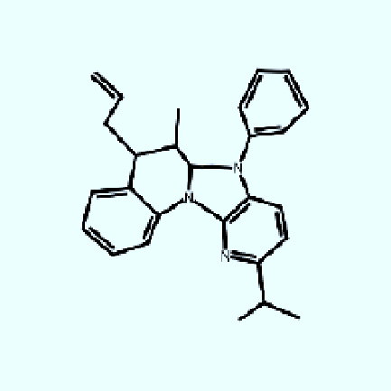 C=CCC1c2ccccc2N2c3nc(C(C)C)ccc3N(c3ccccc3)C2C1C